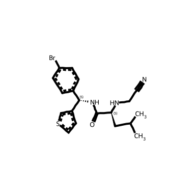 CC(C)C[C@H](NCC#N)C(=O)N[C@@H](c1ccc(Br)cc1)c1ccsc1